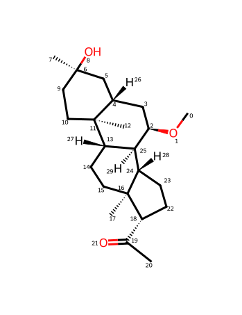 CO[C@@H]1C[C@H]2C[C@](C)(O)CC[C@]2(C)[C@H]2CC[C@]3(C)[C@@H](C(C)=O)CC[C@H]3[C@H]12